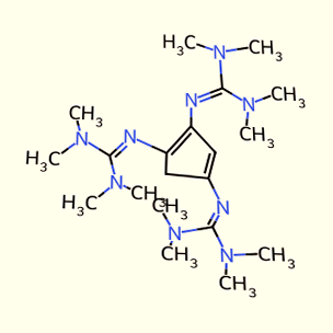 CN(C)C(=NC1=CC(N=C(N(C)C)N(C)C)=C(N=C(N(C)C)N(C)C)C1)N(C)C